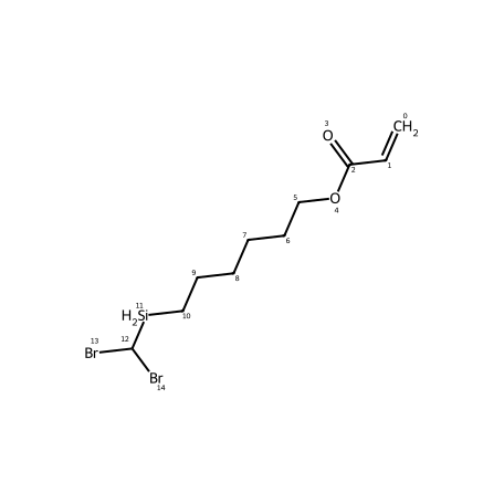 C=CC(=O)OCCCCCC[SiH2]C(Br)Br